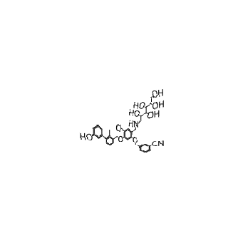 Cc1c(COc2cc(OCc3cccc(C#N)c3)c(CNCC(O)C(O)C(O)C(O)CO)cc2Cl)cccc1-c1cccc(O)c1